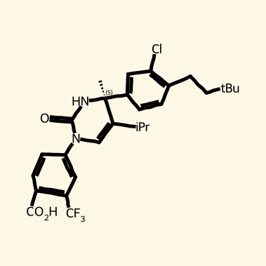 CC(C)C1=CN(c2ccc(C(=O)O)c(C(F)(F)F)c2)C(=O)N[C@@]1(C)c1ccc(CCC(C)(C)C)c(Cl)c1